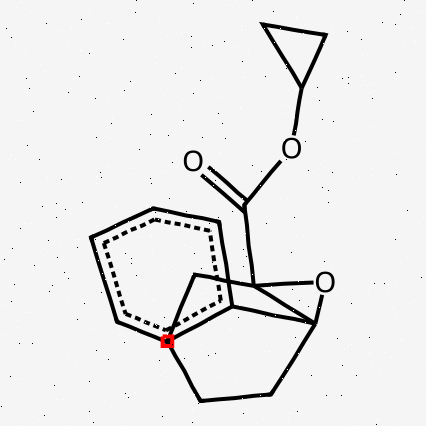 O=C(OC1CC1)C12CCCCC1(c1ccccc1)O2